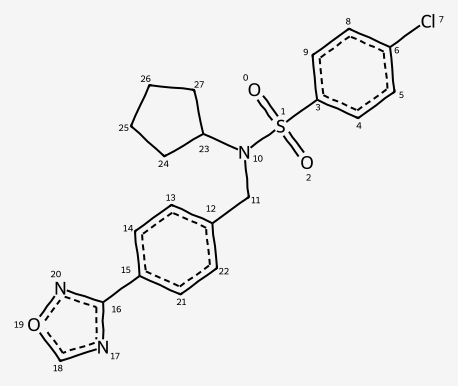 O=S(=O)(c1ccc(Cl)cc1)N(Cc1ccc(-c2ncon2)cc1)C1CCCC1